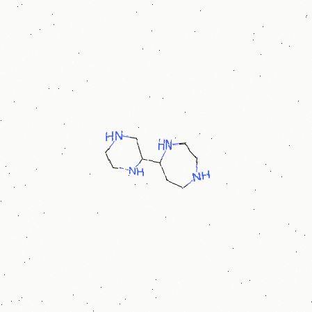 C1CNC(C2CNCCN2)CCN1